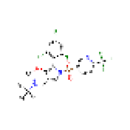 [2H]C([2H])([2H])NCc1cn(S(=O)(=O)c2ccc(C(F)(F)F)nc2)c(-c2c(F)cc(F)cc2F)c1OC